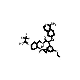 CCOc1cccc(C(Nc2ccc3c(N)nccc3c2)C(=O)NCc2ccccc2S(=O)(=O)C2CC2)c1.O=C(O)C(F)(F)F